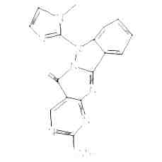 CSc1ncc2c(=O)n3c(nc2n1)c1ccccc1n3-c1nccn1C